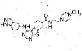 CN1C=CN(CCNC(=O)C2CCc3c(sc4ncnc(Nc5ccc6[nH]ncc6c5)c34)C2)C=C1